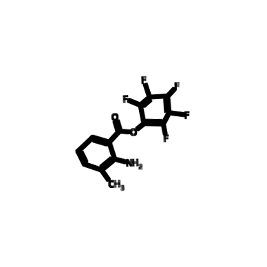 Cc1cccc(C(=O)Oc2c(F)c(F)c(F)c(F)c2F)c1N